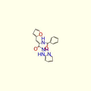 O=C(NNc1ccccn1)/C(=C/c1ccco1)NC(=O)c1ccccc1